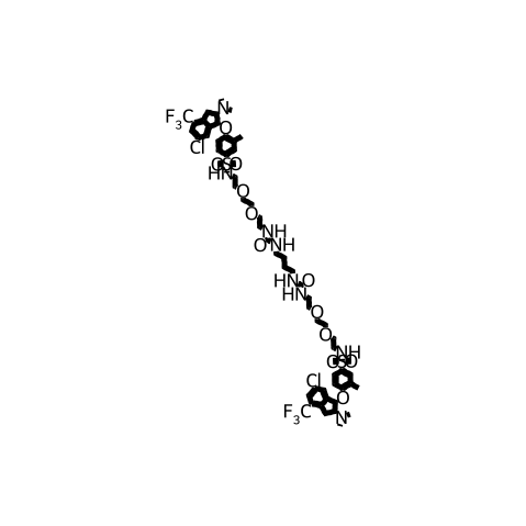 Cc1cc(S(=O)(=O)NCCOCCOCCNC(=O)NCCCCNC(=O)NCCOCCOCCNS(=O)(=O)c2ccc(O[C@H]3c4cc(Cl)cc(C(F)(F)F)c4C[C@@H]3N(C)C)c(C)c2)ccc1O[C@H]1c2cc(Cl)cc(C(F)(F)F)c2C[C@@H]1N(C)C